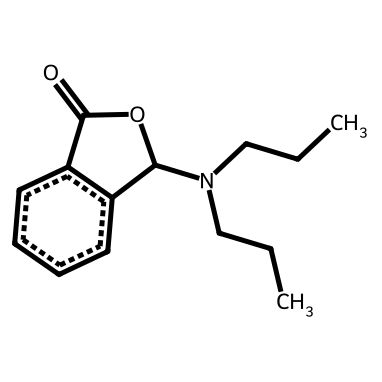 CCCN(CCC)C1OC(=O)c2ccccc21